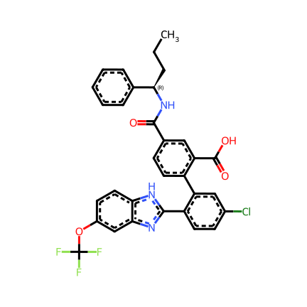 CCC[C@@H](NC(=O)c1ccc(-c2cc(Cl)ccc2-c2nc3cc(OC(F)(F)F)ccc3[nH]2)c(C(=O)O)c1)c1ccccc1